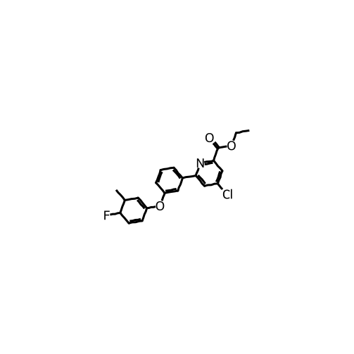 CCOC(=O)c1cc(Cl)cc(-c2cccc(OC3=CC(C)C(F)C=C3)c2)n1